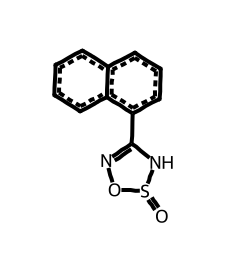 O=S1NC(c2cccc3ccccc23)=NO1